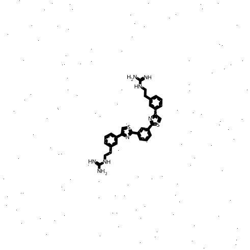 N=C(N)NCCc1cccc(-c2csc(-c3cccc(-c4nc(-c5cccc(CCNC(=N)N)c5)cs4)c3)n2)c1